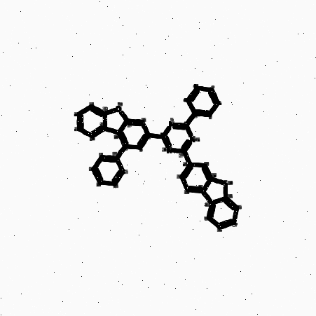 c1ccc(-c2nc(-c3cc(-c4ccccc4)c4c(c3)oc3ccccc34)nc(-c3ccc4c(c3)sc3ccccc34)n2)cc1